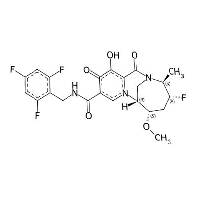 CO[C@H]1C[C@@H](F)[C@H](C)N2C[C@H]1n1cc(C(=O)NCc3c(F)cc(F)cc3F)c(=O)c(O)c1C2=O